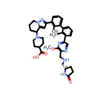 COc1nc(-c2cccc(-c3cccc(-c4cc5n(n4)CCCC5N4CCC(C(=O)O)CC4)c3C)c2C)cnc1CNC[C@@H]1CCC(=O)N1